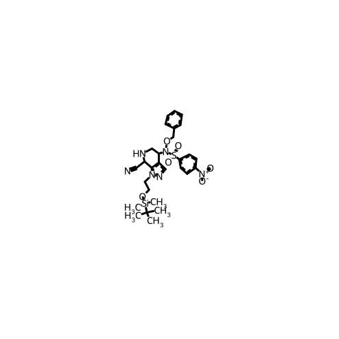 CC(C)(C)[Si](C)(C)OCCn1ncc2c1C(C#N)NCC2N(OCc1ccccc1)S(=O)(=O)c1ccc([N+](=O)[O-])cc1